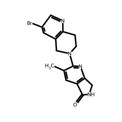 Cc1cc2c(nc1N1CCc3ncc(Br)cc3C1)CNC2=O